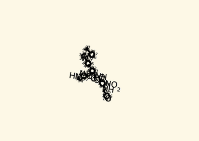 O=C(NS(=O)(=O)c1ccc(NCC2CCOCC2)c([N+](=O)[O-])c1)c1ccc(-c2ccc(N3CCCN3c3ccccc3C3CC3)cc2)cc1Oc1cnc2[nH]ccc2c1